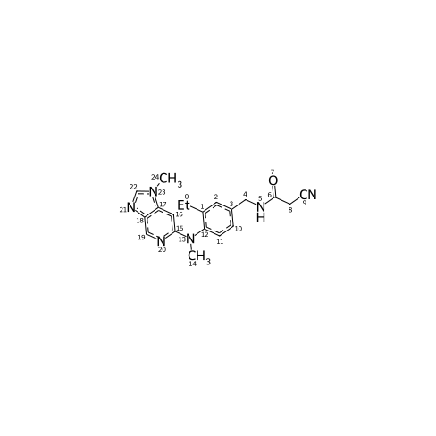 CCc1cc(CNC(=O)CC#N)ccc1N(C)c1cc2c(cn1)ncn2C